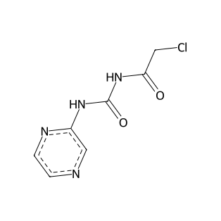 O=C(CCl)NC(=O)Nc1cnccn1